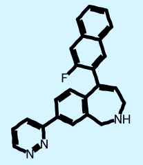 Fc1cc2ccccc2cc1C1=CCNCc2cc(-c3cccnn3)ccc21